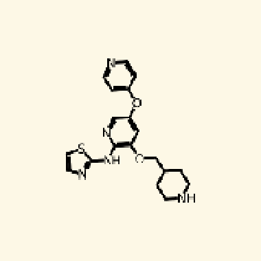 c1cc(Oc2cnc(Nc3nccs3)c(OCC3CCNCC3)c2)ccn1